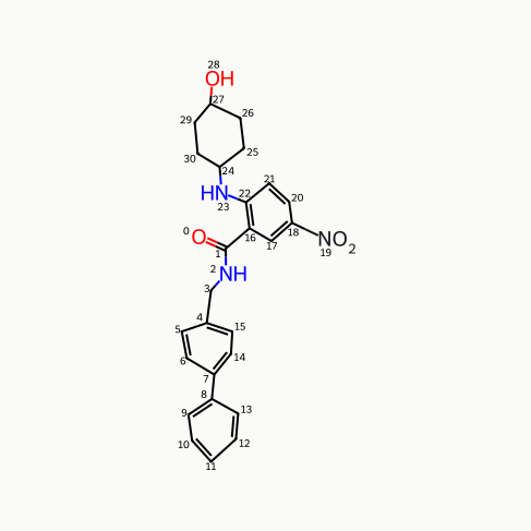 O=C(NCc1ccc(-c2ccccc2)cc1)c1cc([N+](=O)[O-])ccc1NC1CCC(O)CC1